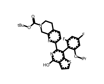 CC(C)Oc1cc(F)cc(F)c1-c1c(-c2ccc3c(n2)CN(C(=O)OC(C)(C)C)CC3)nc(O)c2ccsc12